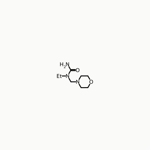 CCN(CN1CCOCC1)C(N)=O